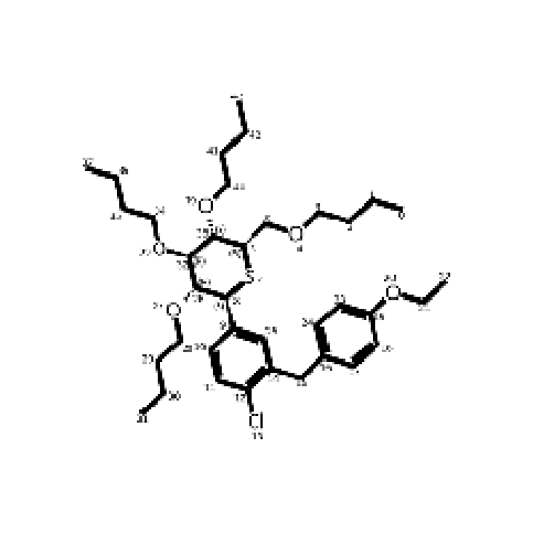 CCCCOC[C@H]1S[C@@H](c2ccc(Cl)c(Cc3ccc(OCC)cc3)c2)[C@H](OCCCC)[C@@H](OCCCC)[C@@H]1OCCCC